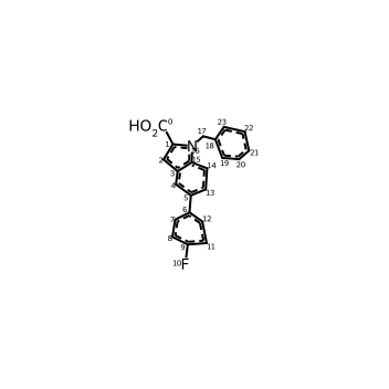 O=C(O)c1cc2cc(-c3ccc(F)cc3)ccc2n1Cc1ccccc1